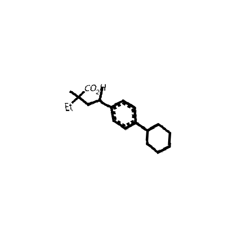 CCC(C)(CC(C)c1ccc(C2CCCCC2)cc1)C(=O)O